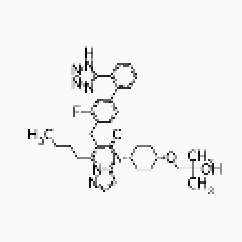 CCCCc1c(Cc2ccc(-c3ccccc3-c3nnn[nH]3)cc2F)c(=O)n([C@H]2CC[C@H](OCC(C)(C)O)CC2)c2ccnn12